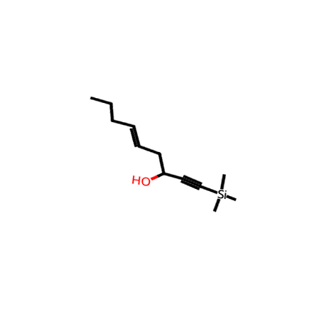 CCCC=CCC(O)C#C[Si](C)(C)C